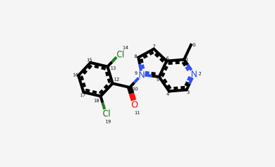 Cc1nccc2c1ccn2C(=O)c1c(Cl)cccc1Cl